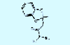 CCN(CC)C(=O)CC1(C)Oc2ccccc2O1